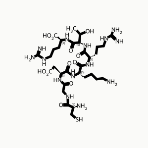 CC(O)[C@H](NC(=O)[C@H](CCCNC(=N)N)NC(=O)[C@H](CCCCN)NC(=O)[C@H](CC(=O)O)NC(=O)CNC(=O)[C@H](N)CS)C(=O)N[C@@H](CCCNC(=N)N)C(=O)O